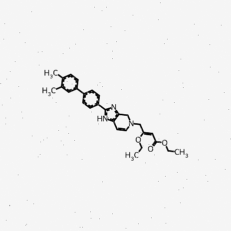 CCOC(=O)C=C(CN1C=Cc2[nH]c(-c3ccc(-c4ccc(C)c(C)c4)cc3)nc2C1)OCC